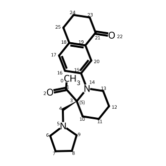 CC(=O)[C@@]1(CN2CCCC2)CCCCN1c1ccc2c(c1)C(=O)CCC2